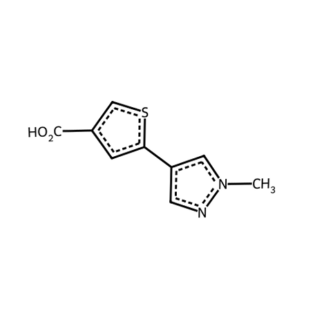 Cn1cc(-c2cc(C(=O)O)cs2)cn1